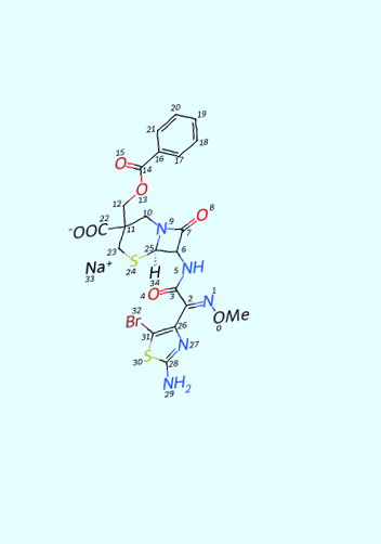 CON=C(C(=O)NC1C(=O)N2CC(COC(=O)c3ccccc3)(C(=O)[O-])CS[C@H]12)c1nc(N)sc1Br.[Na+]